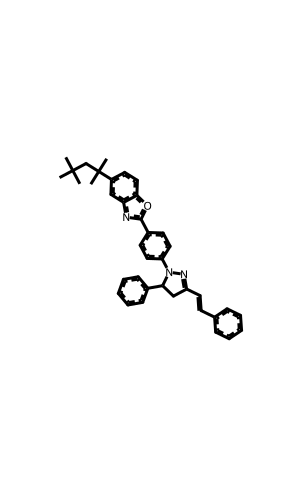 CC(C)(C)CC(C)(C)c1ccc2oc(-c3ccc(N4N=C(C=Cc5ccccc5)CC4c4ccccc4)cc3)nc2c1